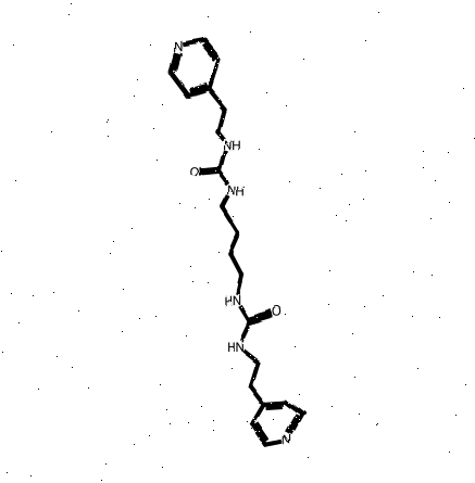 O=C(NCCCCNC(=O)NCCc1ccncc1)NCCc1ccncc1